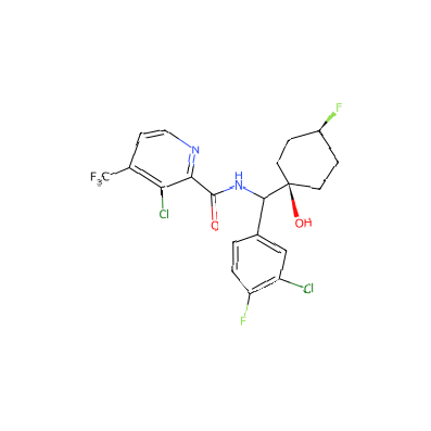 O=C(NC(c1ccc(F)c(Cl)c1)[C@]1(O)CC[C@@H](F)CC1)c1nccc(C(F)(F)F)c1Cl